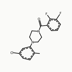 Cc1ccc(Cl)cc1N1CCN(C(=O)c2cccc(F)c2F)CC1